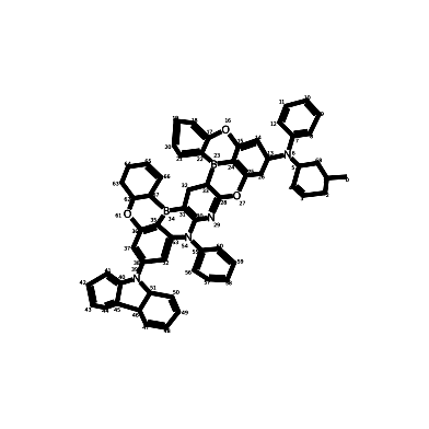 CC1CC=CC(N(c2ccccc2)C2C=C3Oc4ccccc4B4C3=C(C2)OC2=NC3=C(CC42)B2c4c(cc(N5c6ccccc6C6C=CC=CC65)cc4N3c3ccccc3)OC3CCC=CC23)C1